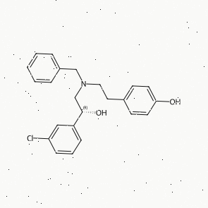 Oc1ccc(CCN(Cc2ccccc2)C[C@H](O)c2cccc(Cl)c2)cc1